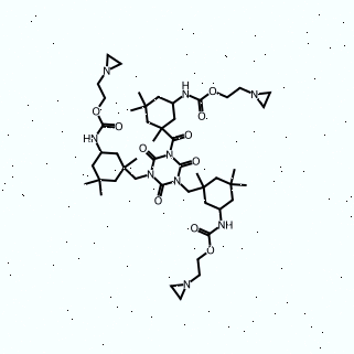 CC1(C)CC(NC(=O)OCCN2CC2)CC(C)(Cn2c(=O)n(CC3(C)CC(NC(=O)OCCN4CC4)CC(C)(C)C3)c(=O)n(C(=O)C3(C)CC(NC(=O)OCCN4CC4)CC(C)(C)C3)c2=O)C1